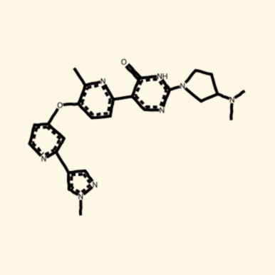 Cc1nc(-c2cnc(N3CCC(N(C)C)C3)[nH]c2=O)ccc1Oc1ccnc(-c2cnn(C)c2)c1